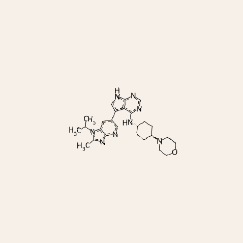 Cc1nc2ncc(-c3c[nH]c4ncnc(N[C@H]5CC[C@H](N6CCOCC6)CC5)c34)cc2n1C(C)C